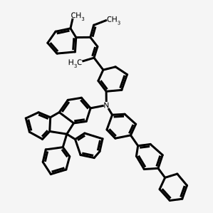 C/C=C(\C=C(/C)C1C=C(N(c2ccc(-c3ccc(C4C=CC=CC4)cc3)cc2)c2ccc3c(c2)C(c2ccccc2)(c2ccccc2)c2ccccc2-3)C=CC1)c1ccccc1C